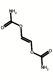 NC(=O)OC=COC(N)=O